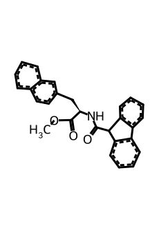 COC(=O)[C@@H](Cc1ccc2ccccc2c1)NC(=O)C1c2ccccc2-c2ccccc21